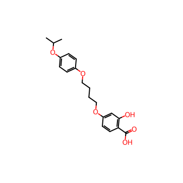 CC(C)Oc1ccc(OCCCCOc2ccc(C(=O)O)c(O)c2)cc1